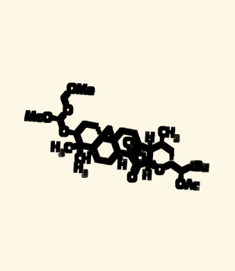 COCO[C@H](OC)O[C@H]1CC[C@]23C[C@]24CC[C@]2(C)[C@H]5[C@H](C)C[C@H]([C@H](OC(C)=O)C(C)(C)C)O[C@@H]5C(=O)[C@@]2(C)[C@@H]4CC[C@H]3C1(C)C